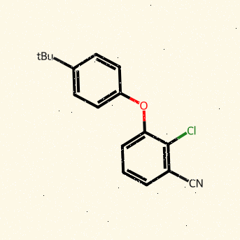 CC(C)(C)c1ccc(Oc2cccc(C#N)c2Cl)cc1